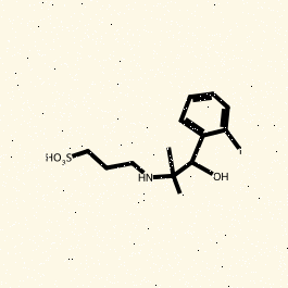 CC(C)(NCCCS(=O)(=O)O)C(O)c1ccccc1I